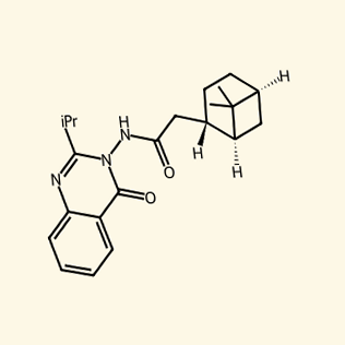 CC(C)c1nc2ccccc2c(=O)n1NC(=O)C[C@@H]1CC[C@H]2C[C@@H]1C2(C)C